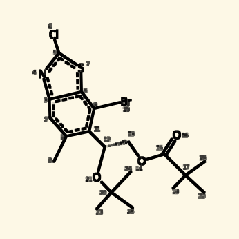 Cc1cc2nc(Cl)sc2c(Br)c1[C@H](COC(=O)C(C)(C)C)OC(C)(C)C